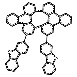 c1ccc2c(c1)sc1cc(-c3cc4c5ccccc5c5cccc6c7cccc8c9ccccc9c9cc(-c%10ccc%11c(c%10)sc%10ccccc%10%11)cc(c(c3)c4c56)c9c87)ccc12